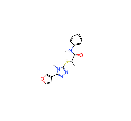 CC(Sc1nnc(-c2ccoc2)n1C)C(=O)N(C)c1ccccc1